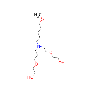 COCCCCCN(CCCOCCO)CCOCCO